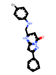 CCc1ccc(NCc2cc(=O)n3nc(-c4ccccc4)cc3[nH]2)cc1